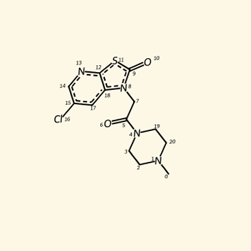 CN1CCN(C(=O)Cn2c(=O)sc3ncc(Cl)cc32)CC1